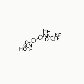 CC(C)C(C(=O)O)N1Cc2cc(-c3ccc(NC(=O)Nc4cccc(C(F)(F)F)c4)cc3)ccc2C1=O